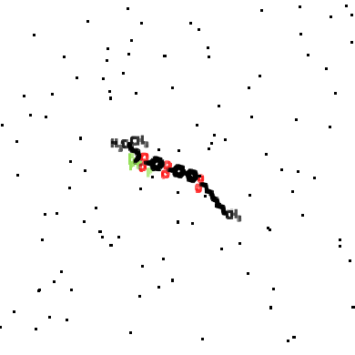 CCCCCCCCCC(=O)Oc1ccc(-c2ccc(C(=O)Oc3ccc(C(=O)OC(CCC(C)C)C(F)(F)F)c(F)c3)cc2)cc1